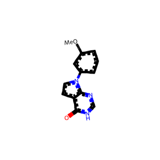 COc1cccc(-n2ccc3c(=O)[nH]cnc32)c1